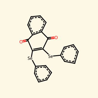 O=C1C([Se]c2ccccc2)=C([Se]c2ccccc2)C(=O)c2ccccc21